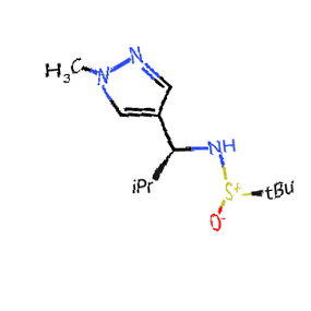 CC(C)[C@H](N[S@+]([O-])C(C)(C)C)c1cnn(C)c1